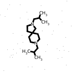 CC(C)CN1CCC2(CC1)CCN(CC(C)C)C2